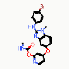 CNC(=O)Oc1cc(Oc2ccc3c(c2)nc(Nc2ccc(Br)cc2)n3C)ccn1